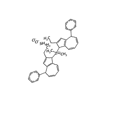 CCC1=CC2=C(C=CC=CC2c2ccccc2)[CH]1[Zr+2]([CH3])([CH3])[CH]1C(CC)=CC2=C1C=CC=CC2c1ccccc1.[Cl-].[Cl-].[SiH4]